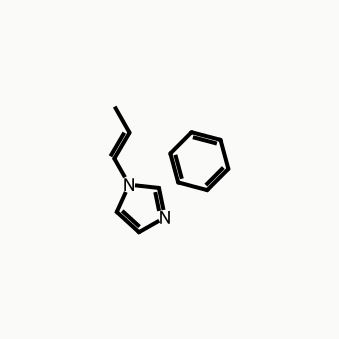 CC=Cn1ccnc1.c1ccccc1